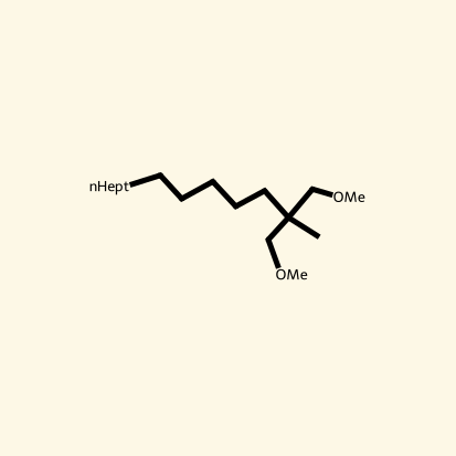 CCCCCCCCCCCCC(C)(COC)COC